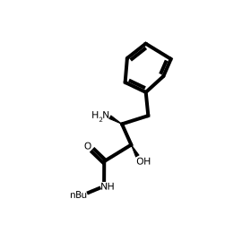 CCCCNC(=O)[C@H](O)[C@@H](N)Cc1ccccc1